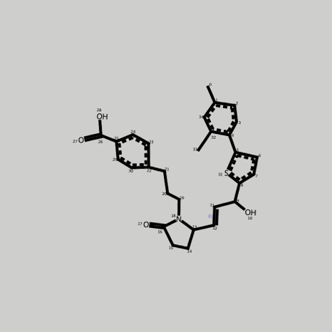 Cc1ccc(-c2ccc(C(O)/C=C/C3CCC(=O)N3CCCc3ccc(C(=O)O)cc3)s2)c(C)c1